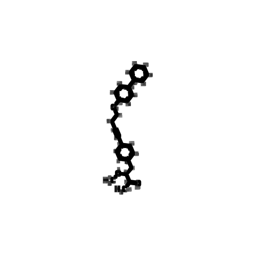 CO[C@@H](Cc1ccc(C#CCCOc2ccc(-c3ccccc3)cc2)cc1)C(C)=O